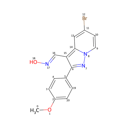 COc1ccc(-c2nn3ccc(Br)cc3c2/C=N/O)cc1